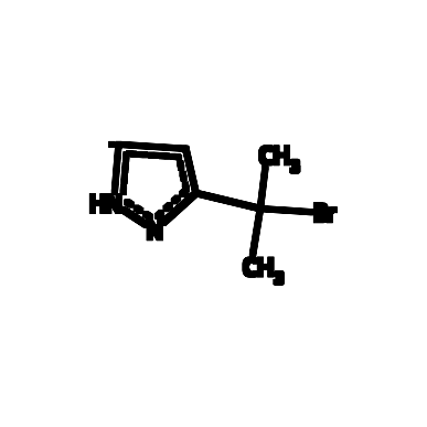 CC(C)(Br)c1c[c][nH]n1